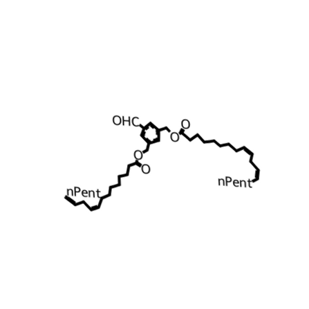 CCCCC/C=C\C/C=C\CCCCCCCC(=O)OCc1cc(C=O)cc(COC(=O)CCCCCCC/C=C\C/C=C\CCCCC)c1